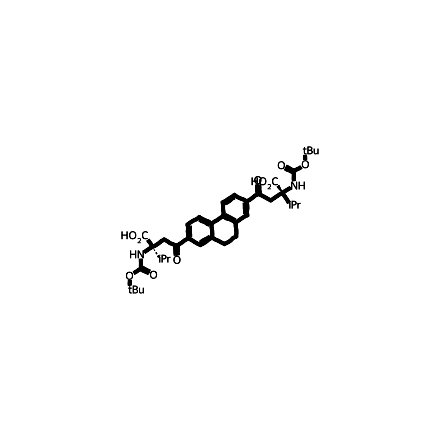 CC(C)[C@](CC(=O)c1ccc2c(c1)CCc1cc(C(=O)C[C@@](NC(=O)OC(C)(C)C)(C(=O)O)C(C)C)ccc1-2)(NC(=O)OC(C)(C)C)C(=O)O